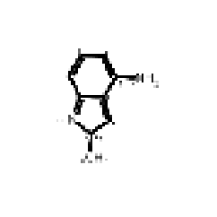 C[C@@H]1C=c2c(N)cccc2=N1